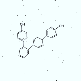 Oc1ccc(-c2ccccc2C2C=CC(c3ccc(O)cc3)CC2)cc1